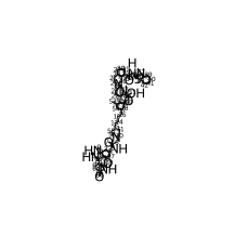 CNc1cc(NC(=O)CN2CCC(CCCCc3ccc(-c4ccc(N5CCc6cccc(C(=O)Nc7nc8ccccc8s7)c6C5)nc4C(=O)O)c(C)c3)CC2)ccc1C(=N)C1CCC(=O)NC1=O